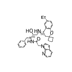 CCc1ccc2c(c1)[C@@H](NC[C@H](O)[C@H](Cc1ccccc1)NC(=O)Cn1ccc3cccnc31)CC1(CCC1)O2